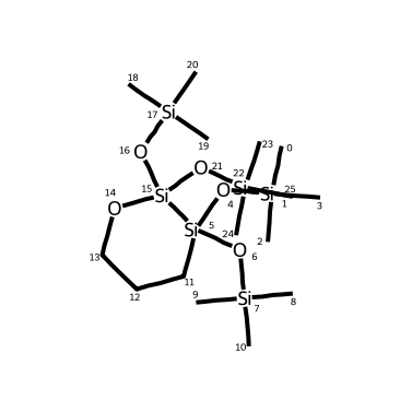 C[Si](C)(C)O[Si]1(O[Si](C)(C)C)CCCO[Si]1(O[Si](C)(C)C)O[Si](C)(C)C